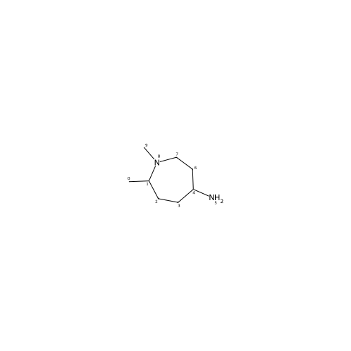 CC1CCC(N)CCN1C